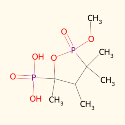 COP1(=O)OC(C)(P(=O)(O)O)C(C)C1(C)C